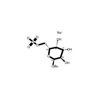 CC(C)CO[C@H]1O[C@H](COS(=O)(=O)[O-])[C@H](O)[C@H](O)[C@H]1O.[Na+]